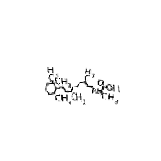 CC(C=CC1=C(C)CCCC1(C)C)=CCCC(C)=CC=N[C@@H](C)C(=O)O